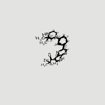 CCC(C)(C)C(=O)c1c[nH]c2ncc(-c3cccc(N4CCNC(C)(C)C4)c3)nc12